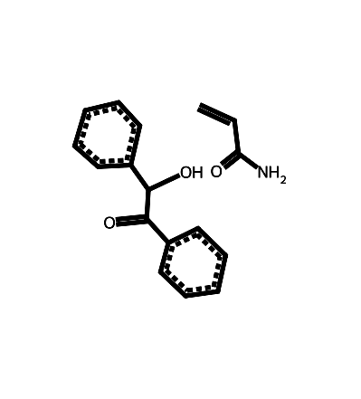 C=CC(N)=O.O=C(c1ccccc1)C(O)c1ccccc1